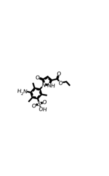 CCOC(=O)c1cc(=O)n(-c2c(C)c(N)c(C)c(S(=O)(=O)O)c2C)[nH]1